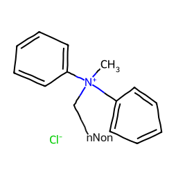 CCCCCCCCCC[N+](C)(c1ccccc1)c1ccccc1.[Cl-]